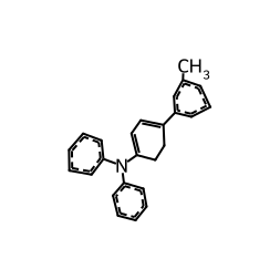 Cc1cccc(C2=CC=C(N(c3ccccc3)c3ccccc3)CC2)c1